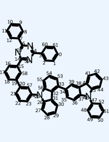 c1ccc(-c2nc(-c3ccccc3)nc(-c3cccc(-c4cccc(-n5c6ccccc6c6c(-c7ccc8c(c7)c7ccccc7n8-c7ccccc7)cccc65)c4)c3)n2)cc1